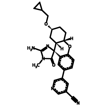 CN1C(=O)[C@]2(N=C1N)c1cc(-c3cncc(C#N)c3)ccc1O[C@H]1CC[C@@H](OCC3CC3)C[C@@H]12